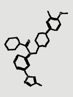 COc1ccc(C2CCC(CN(C(=O)C3CCCCC3)c3cccc(-n4cc(C)cn4)c3)CC2)cc1C